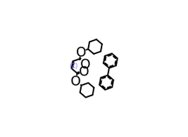 O=C(/C=C\C(=O)OC1CCCCC1)OC1CCCCC1.c1ccc(-c2ccccc2)cc1